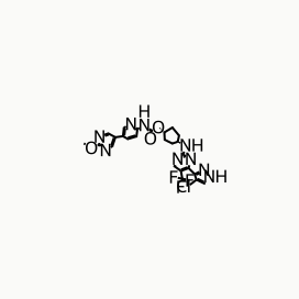 COc1ncc(-c2ccc(NC(=O)O[C@H]3CC[C@H](Nc4ncc(C(F)(F)F)c(-c5n[nH]cc5Cl)n4)CC3)nc2)cn1